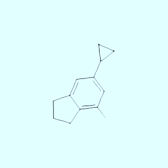 Clc1cc(C2CC2)cc2c1CCC2